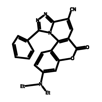 CCN(CC)c1ccc2c(c1)oc(=O)c1cc(C#N)c3nnc(-c4ccccc4)n3c12